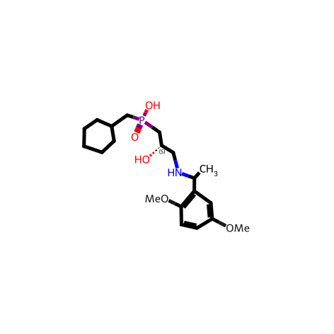 COc1ccc(OC)c(C(C)NC[C@H](O)CP(=O)(O)CC2CCCCC2)c1